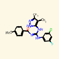 COc1ccc(C(=O)/N=C(/Nc2cc(F)cc(Cl)c2)Nc2[nH]nc(C(F)(F)F)c2C)cc1